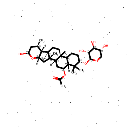 CC(=O)O[C@H]1C[C@@H]2[C@]3(CC[C@]4(C)[C@H]5[C@H](C)C[C@H](O)O[C@H]5C[C@@]24C)C[C@@]32CC[C@H](O[C@@H]3OC[C@@H](O)[C@H](O)[C@H]3O)C(C)(C)[C@H]12